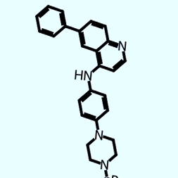 CCCN1CCN(c2ccc(Nc3ccnc4ccc(-c5ccccc5)cc34)cc2)CC1